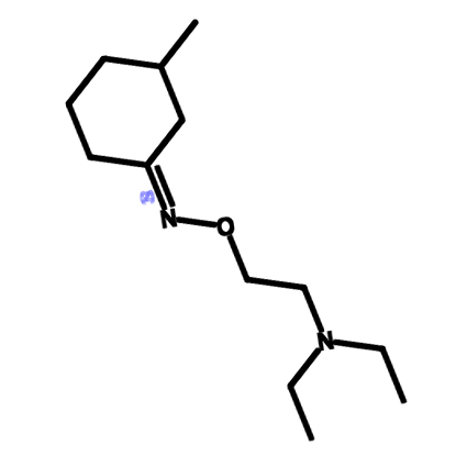 CCN(CC)CCO/N=C1/CCCC(C)C1